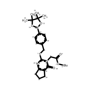 CC(C)(C)OC(=O)Cn1c(SCc2ccc(B3OC(C)(C)C(C)(C)O3)cc2)nc2c(c1=O)CCC2